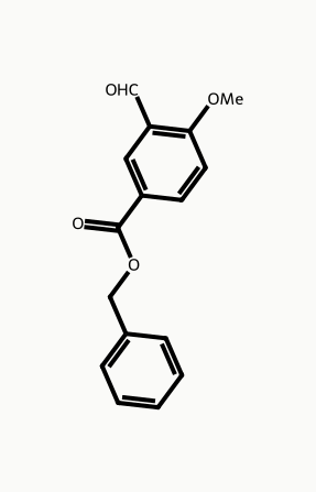 COc1ccc(C(=O)OCc2ccccc2)cc1C=O